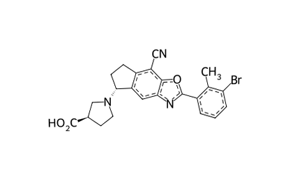 Cc1c(Br)cccc1-c1nc2cc3c(c(C#N)c2o1)CC[C@H]3N1CC[C@@H](C(=O)O)C1